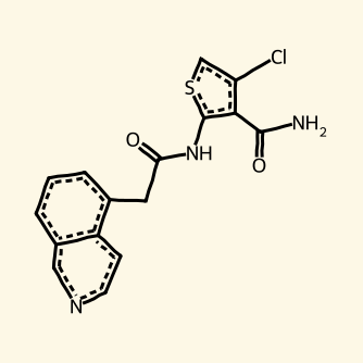 NC(=O)c1c(Cl)csc1NC(=O)Cc1cccc2cnccc12